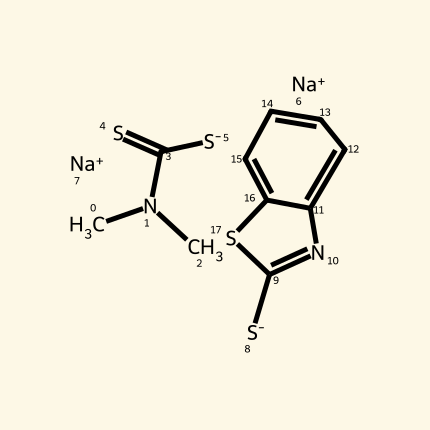 CN(C)C(=S)[S-].[Na+].[Na+].[S-]c1nc2ccccc2s1